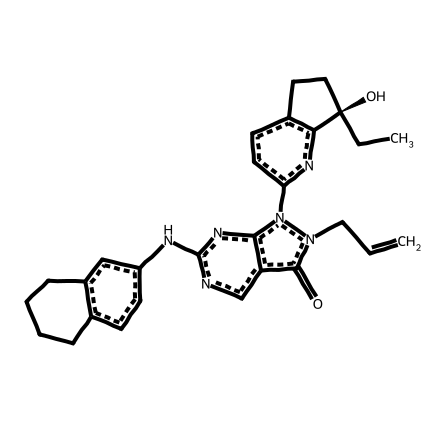 C=CCn1c(=O)c2cnc(Nc3ccc4c(c3)CCCC4)nc2n1-c1ccc2c(n1)[C@@](O)(CC)CC2